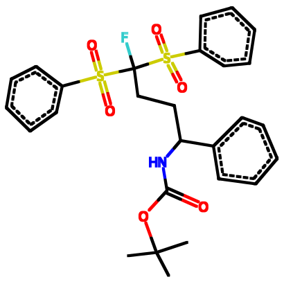 CC(C)(C)OC(=O)NC(CCC(F)(S(=O)(=O)c1ccccc1)S(=O)(=O)c1ccccc1)c1ccccc1